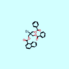 CCC(COC(=O)c1ccccc1)(COC(=O)c1ccccc1)COC(=O)c1cccc2ccccc12